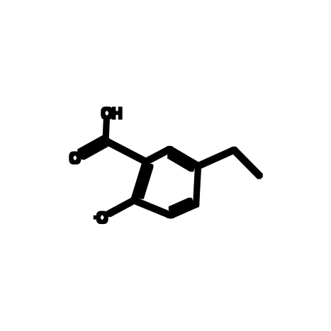 CCc1ccc([O])c(C(=O)O)c1